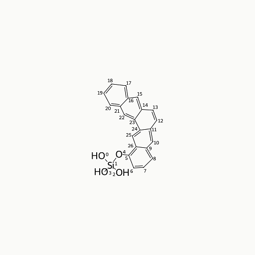 O[Si](O)(O)Oc1cccc2cc3ccc4cc5ccccc5cc4c3cc12